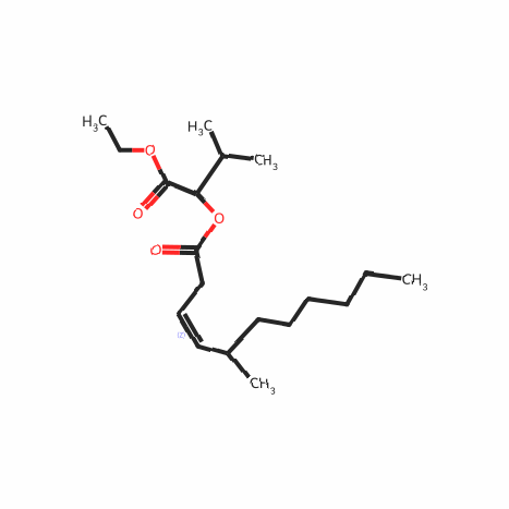 CCCCCCC(C)/C=C\CC(=O)OC(C(=O)OCC)C(C)C